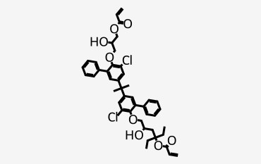 C=CC(=O)OCC(O)COc1c(Cl)cc(C(C)(C)c2cc(Cl)c(OCC(O)CC(CC)(CC)OC(=O)C=C)c(-c3ccccc3)c2)cc1-c1ccccc1